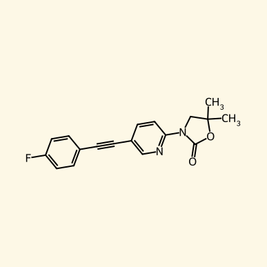 CC1(C)CN(c2ccc(C#Cc3ccc(F)cc3)cn2)C(=O)O1